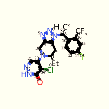 CC[C@@H]1Cc2c(nnn2[C@H](C)c2ccc(F)cc2C(F)(F)F)CN1c1cn[nH]c(=O)c1Cl